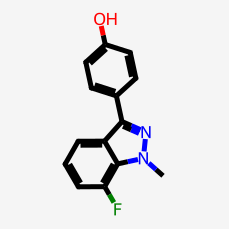 Cn1nc(-c2ccc(O)cc2)c2cccc(F)c21